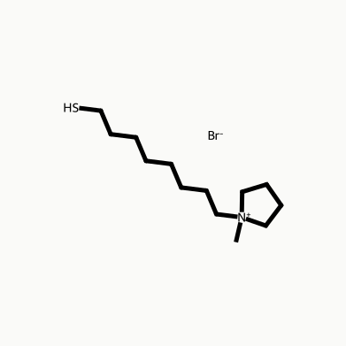 C[N+]1(CCCCCCCCS)CCCC1.[Br-]